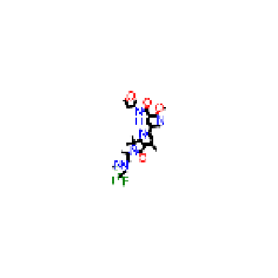 C=NN(/C=C(\C)N1C(=O)c2c(C)cc(-c3cnc(OC)c(C(=O)N[C@@H]4CCOC4)c3)nc2C1(C)C)CC(F)(F)F